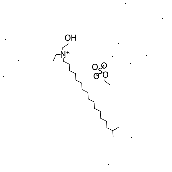 CCOS(=O)(=O)[O-].CC[N+](C)(CCO)CCCCCCCCCCCCCCCC(C)C